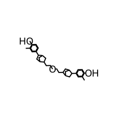 Cc1cc(C2CC3CC2CC3CCOCCC2CC3CC2CC3c2ccc(O)c(C)c2)ccc1O